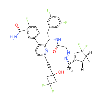 NC(=O)c1cc(-c2ccc(C#CC3(O)CC(F)(F)C3)nc2[C@H](Cc2cc(F)cc(F)c2)NC(=O)Cn2nc(C(F)(F)F)c3c2C(F)(F)[C@@H]2C[C@H]32)ccc1F